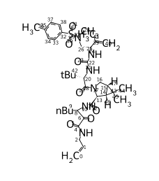 C=CCNC(=O)C(=O)C(CCCC)NC(=O)[C@@H]1[C@@H]2[C@H](CN1C(=O)[C@@H](NC(=O)N[C@H](CN(C)S(=O)(=O)c1ccc(C)cc1)C(=C)C)C(C)(C)C)C2(C)C